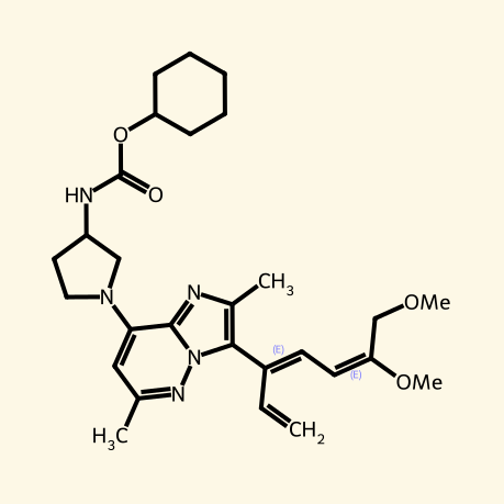 C=C/C(=C\C=C(/COC)OC)c1c(C)nc2c(N3CCC(NC(=O)OC4CCCCC4)C3)cc(C)nn12